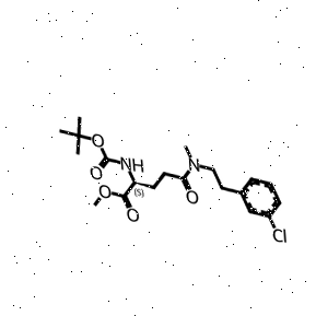 COC(=O)[C@H](CCC(=O)N(C)CCc1cccc(Cl)c1)NC(=O)OC(C)(C)C